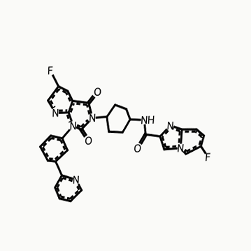 O=C(NC1CCC(n2c(=O)c3cc(F)cnc3n(-c3cccc(-c4ccccn4)c3)c2=O)CC1)c1cn2cc(F)ccc2n1